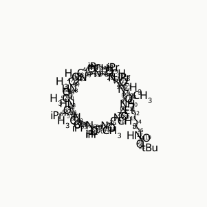 CC[C@H]1NC(=O)[C@@H](C[C@H](C)CCCCCCCCNC(=O)OC(C)(C)C)N(C)C(=O)[C@@H](C(C)C)N(C)C(=O)[C@@H](CC(C)C)N(C)C(=O)[C@H](CC(C)C)N(C)C(=O)[C@H](C)NC(=O)[C@@H](C)NC(=O)[C@@H](CCC(C)C)N(C)C(=O)[C@@H](C(C)C)NC(=O)[C@H](CC(C)C)N(C)C(=O)CN(C)C1=O